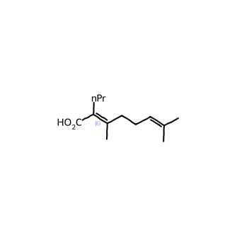 CCC/C(C(=O)O)=C(/C)CCC=C(C)C